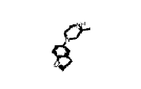 CC1CN(c2ccc3c(c2)CCO3)CCN1